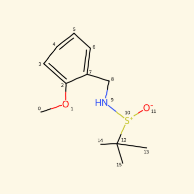 COc1ccccc1CN[S+]([O-])C(C)(C)C